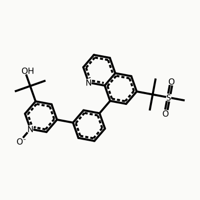 CC(C)(O)c1cc(-c2cccc(-c3cc(C(C)(C)S(C)(=O)=O)cc4cccnc34)c2)c[n+]([O-])c1